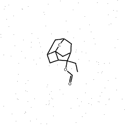 CCC1(OC=O)C2CC3CC4CC1C4(C3)C2